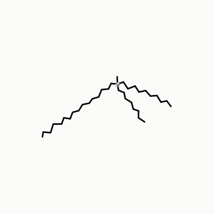 CCCCCCCCCCCCCCCC[Si](C)(CCCCCCCC)CCCCCCCCCC